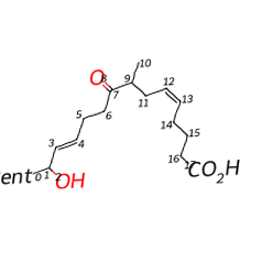 CCCCCC(O)/C=C/CCC(=O)C(C)C/C=C\CCCC(=O)O